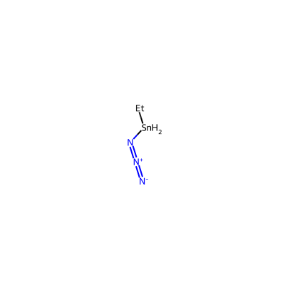 C[CH2][SnH2][N]=[N+]=[N-]